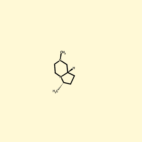 C[C@H]1CC[C@H]2CN(C)CCN21